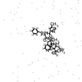 Cc1cc(C(=O)N[C@@H](CCc2ccccc2)C(=O)N[C@](C)(Cc2ccncc2)C(=O)N[C@@H](CC(C)C)C(=O)[C@@]2(C)CO2)no1